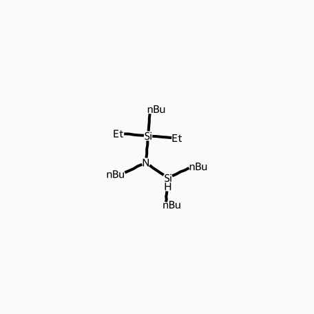 CCCCN([SiH](CCCC)CCCC)[Si](CC)(CC)CCCC